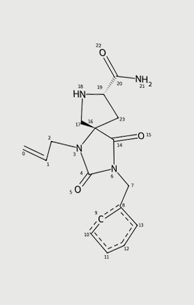 C=CCN1C(=O)N(Cc2ccccc2)C(=O)[C@]12CN[C@H](C(N)=O)C2